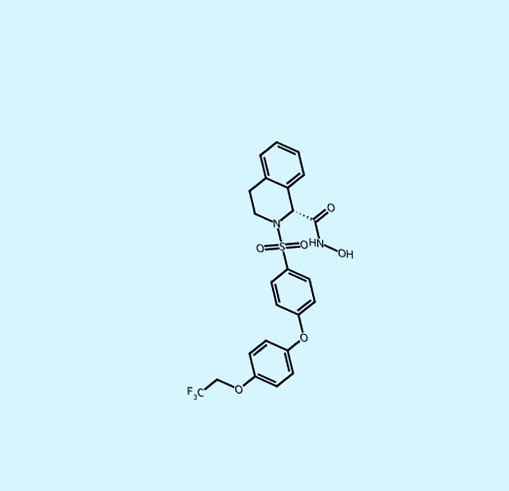 O=C(NO)[C@H]1c2ccccc2CCN1S(=O)(=O)c1ccc(Oc2ccc(OCC(F)(F)F)cc2)cc1